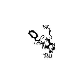 CC(C)(C)n1cnc2c(OCCC#N)nc(NC(=O)Cc3ccccc3)nc21